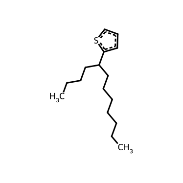 CCCCCCCC(CCCC)c1cccs1